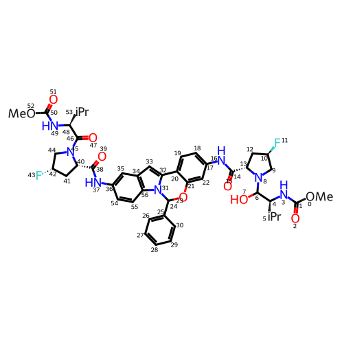 COC(=O)N[C@@H](C(C)C)C(O)N1C[C@H](F)C[C@H]1C(=O)Nc1ccc2c(c1)OC(c1ccccc1)n1c-2cc2cc(NC(=O)[C@@H]3C[C@H](F)CN3C(=O)[C@@H](NC(=O)OC)C(C)C)ccc21